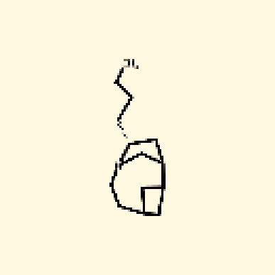 CCCC[C@@H]1CC2CN1CCC1CC2C1